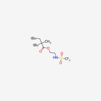 CC(C)(C)CC(C)(C(=O)OCCNS(=O)(=O)C(F)(F)F)C(C)(C)C